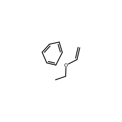 C=COCC.c1ccccc1